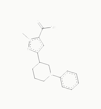 Cn1nc(C2CCCN(c3ccccc3)C2)cc1C(N)=O